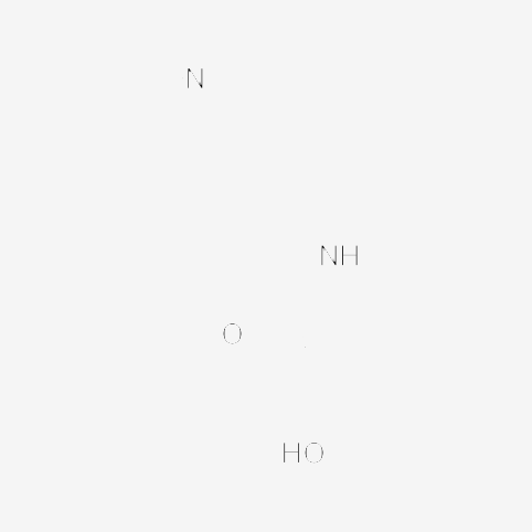 O=C(CO)NC1CC[N]CC1